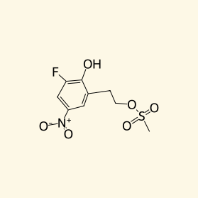 CS(=O)(=O)OCCc1cc([N+](=O)[O-])cc(F)c1O